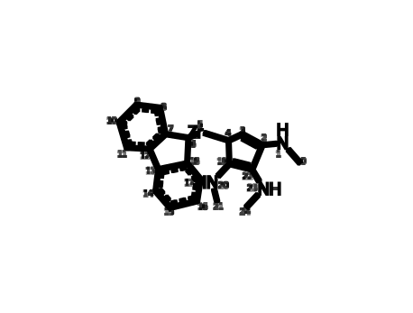 CNC1=C[CH]([Zr][CH]2c3ccccc3-c3ccccc32)C(NC)=C1NC